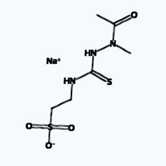 CC(=O)N(C)NC(=S)NCCS(=O)(=O)[O-].[Na+]